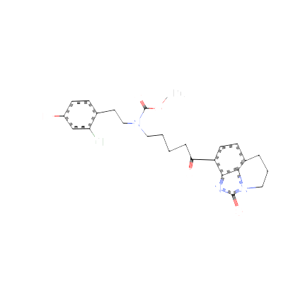 CC(C)(C)OC(=O)N(CCCCC(=O)c1ccc2c3c1[nH]c(=O)n3CCC2)CCc1ccc(O)cc1Cl